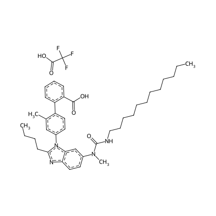 CCCCCCCCCCCCNC(=O)N(C)c1ccc2nc(CCCC)n(-c3ccc(-c4ccccc4C(=O)O)c(C)c3)c2c1.O=C(O)C(F)(F)F